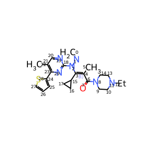 C=NN(/C(=C(\C)C(=O)N1CCN(CC)CC1)C1CC1)c1ncc(C)c(-c2cccs2)n1